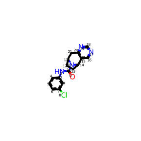 O=C(Nc1cccc(Cl)c1)N1C2CCC1c1cncnc1C2